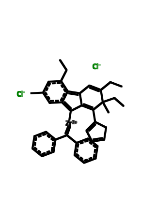 CCC1=CC2=c3c(CC)cc(C)cc3=[C]([Zr+2]=[C](c3ccccc3)c3ccccc3)C2=C(C2=CC=CC2)C1(C)CC.[Cl-].[Cl-]